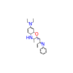 C=CC(/C=C1/OC2C=C(N(CC)CC)C=CC2NC1C)=N\c1ccccc1